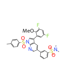 COc1c(F)cc(F)cc1-c1cn(S(=O)(=O)c2ccc(C)cc2)c2ncc(-c3cccc(S(=O)(=O)N(C)C)c3)cc12